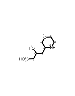 O=S(=O)(O)CC(O)CC1COCCN1